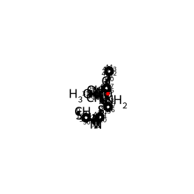 CSc1ccc(-c2nnc3ccc(Sc4ccccc4CN(C(N)=O)c4cc(C(C)(C)C)nn4-c4cccc(OCc5ccccc5)c4)cn23)cc1